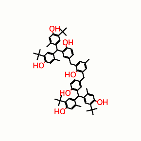 Cc1cc(Cc2ccc(O)c(C(c3cc(C(C)(C)C)c(O)cc3C)c3cc(C(C)(C)C)c(O)cc3C)c2)c(O)c(Cc2ccc(O)c(C(c3cc(C(C)(C)C)c(O)cc3C)c3cc(C(C)(C)C)c(O)cc3C)c2)c1